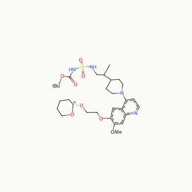 COc1cc2nccc(N3CCC(C(C)CNS(=O)(=O)NC(=O)OC(C)(C)C)CC3)c2cc1OCCO[C@H]1CCCCO1